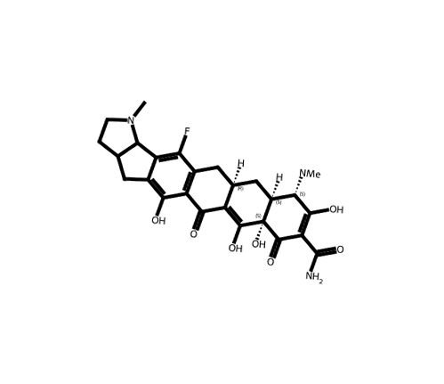 CN[C@@H]1C(O)=C(C(N)=O)C(=O)[C@@]2(O)C(O)=C3C(=O)c4c(O)c5c(c(F)c4C[C@H]3C[C@@H]12)C1C(CCN1C)C5